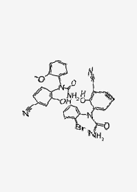 COc1ccccc1N(C(N)=O)c1ccc(C#N)cc1O.N#Cc1cccc(N(C(N)=O)c2ccccc2Br)c1O